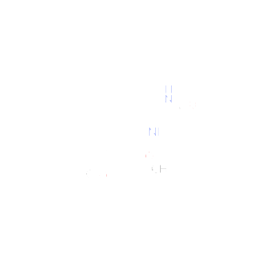 COc1ccc(CNC2CNC(=O)C2)c(OC)c1